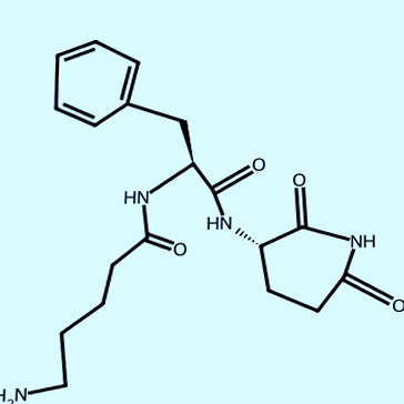 NCCCCC(=O)N[C@@H](Cc1ccccc1)C(=O)N[C@H]1CCC(=O)NC1=O